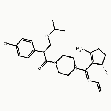 C=C/N=C(\C1=C(N)CC[C@@H]1C)N1CCN(C(=O)[C@H](CNC(C)C)c2ccc(Cl)cc2)CC1